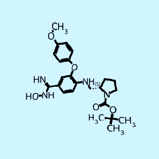 COc1ccc(Oc2cc(C(=N)NO)ccc2NC[C@@H]2CCCN2C(=O)OC(C)(C)C)cc1